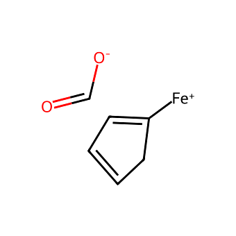 O=C[O-].[Fe+][C]1=CC=CC1